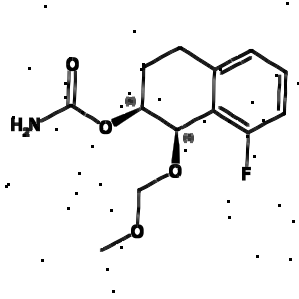 COCO[C@@H]1c2c(F)cccc2CC[C@@H]1OC(N)=O